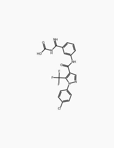 N=C(NC(=O)O)c1cccc(NC(=O)c2cnn(-c3ccc(Cl)cc3)c2C(F)(F)F)c1